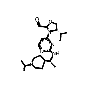 CC(C)[C@H]1COC(C=O)N1c1ccnc(N[C@@H](C)C2CCN(C(C)C)CC2)n1